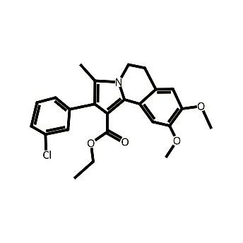 CCOC(=O)c1c(-c2cccc(Cl)c2)c(C)n2c1-c1cc(OC)c(OC)cc1CC2